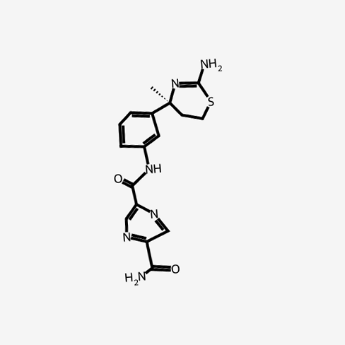 C[C@@]1(c2cccc(NC(=O)c3cnc(C(N)=O)cn3)c2)CCSC(N)=N1